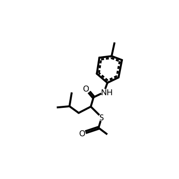 CC(=O)SC(CC(C)C)C(=O)Nc1ccc(C)cc1